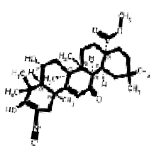 [C-]#[N+]C1=C(O)C(C)(C)[C@@H]2[C@H](O)C[C@]3(C)C(=CC(=O)[C@@H]4[C@@H]5CC(C)(C)CC[C@]5(C(=O)OC)CC[C@]43C)[C@@]2(C)C1